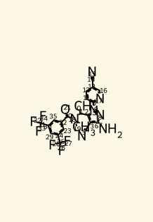 CC(c1c(C#N)c(N)nn1-c1ccc(C#N)cn1)N(C)C(=O)c1cc(C(F)(F)F)cc(C(F)(F)F)c1